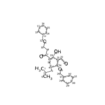 CC(C)Cc1cc(C(=O)CCOCc2ccccc2)c(O)c(C=O)c1OCc1ccccc1